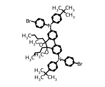 CCCCC1(OC)c2cc(N(c3ccc(Br)cc3)c3ccc(C(C)(C)C)cc3)ccc2-c2ccc(N(c3ccc(Br)cc3)c3ccc(C(C)(C)C)cc3)cc2C1(CCCC)OC